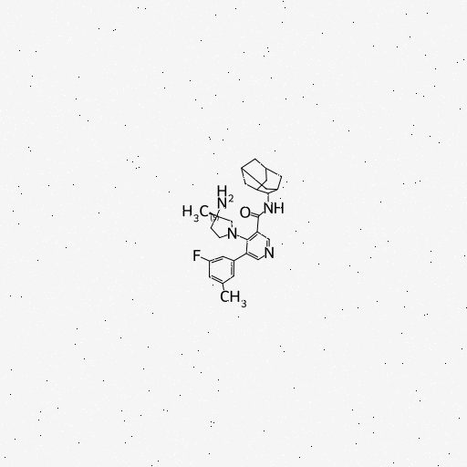 Cc1cc(F)cc(-c2cncc(C(=O)NC3C4CC5CC(C4)CC3C5)c2N2CC[C@](C)(N)C2)c1